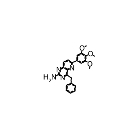 COc1cc(-c2ccc3nc(N)nc(Cc4ccccc4)c3n2)cc(OC)c1OC